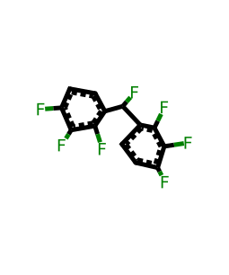 Fc1ccc(C(F)c2ccc(F)c(F)c2F)c(F)c1F